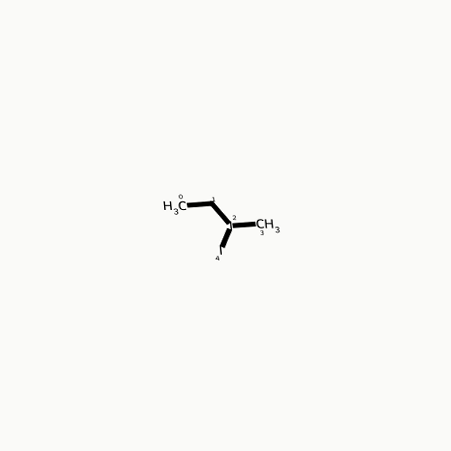 CCI(C)I